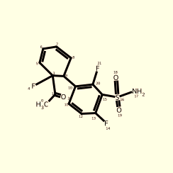 CC(=O)C1(F)C=CC=CC1c1ccc(F)c(S(N)(=O)=O)c1F